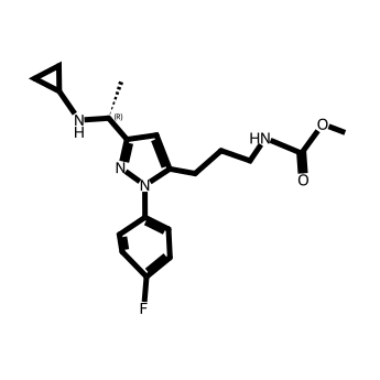 COC(=O)NCCCc1cc([C@@H](C)NC2CC2)nn1-c1ccc(F)cc1